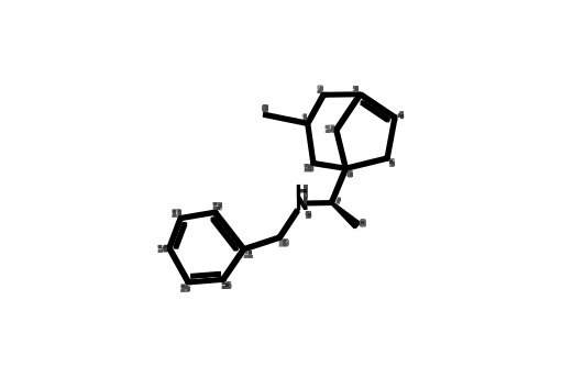 CC1CC2=CCC([C@@H](C)NCc3ccccc3)(C2)C1